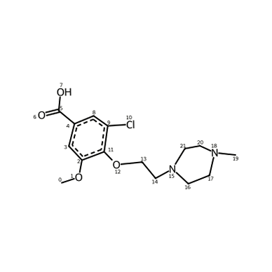 COc1cc(C(=O)O)cc(Cl)c1OCCN1CCN(C)CC1